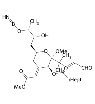 CCCCCCCC(=O)O[C@H]1/C(=C/C(=O)OC)C[C@@H](C[C@@H](O)[C@@H](C)OB=N)O[C@@]1(OC)C(C)(C)/C=C/C=O